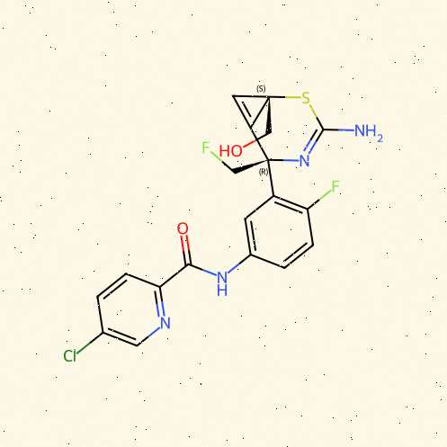 NC1=N[C@](CF)(c2cc(NC(=O)c3ccc(Cl)cn3)ccc2F)C2=C[C@]2(CO)S1